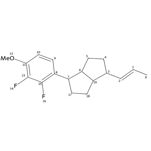 C/C=C/C1CCC2C(c3ccc(OC)c(F)c3F)CCC12